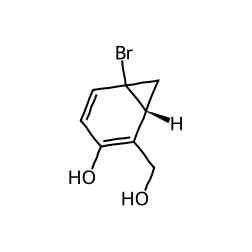 OCC1=C(O)C=CC2(Br)C[C@H]12